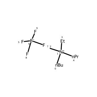 CCCC[N+](C)(CC)CCC.F[B-](F)(F)F